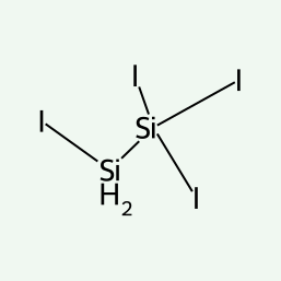 I[SiH2][Si](I)(I)I